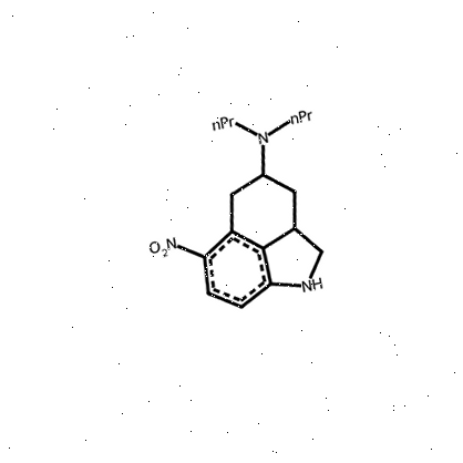 CCCN(CCC)C1Cc2c([N+](=O)[O-])ccc3c2C(CN3)C1